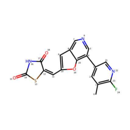 Cc1cc(-c2cncc3cc(/C=C4/SC(=O)NC4=O)oc23)cnc1F